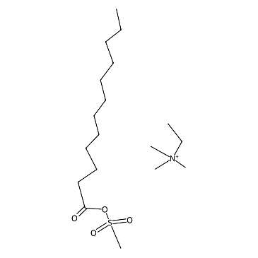 CCCCCCCCCCCC(=O)OS(C)(=O)=O.CC[N+](C)(C)C